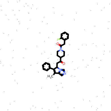 CC1=C(c2ccccc2)C(CC(=O)C2CCN(C(=O)Cc3ccccc3F)CC2)n2cncc21